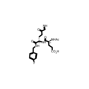 CC(=O)N[C@@H](CCC(=O)O)C(=O)N[C@@H](CCC(=O)C=N)C(=O)NCc1ccc(F)cc1